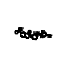 O=C1c2cc([N+](=O)[O-])ccc2CN1[C@H]1CCC[C@@H](Nc2ncc(Br)cn2)C1